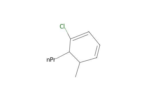 CCCC1C(Cl)=CC=CC1C